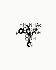 CCCC(CCC)CC[C@@H](NC(=O)c1cccnc1)C(=O)N[C@H](Cc1cc(F)cc(F)c1)[C@@H](O)[C@H](O)[C@H](C)NC(C)=O